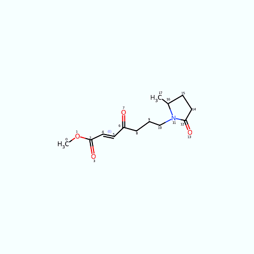 COC(=O)/C=C/C(=O)CCCN1C(=O)CCC1C